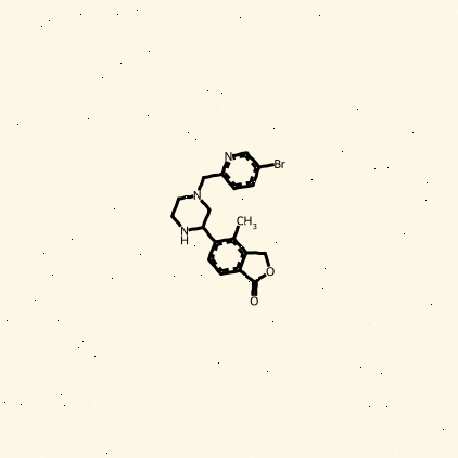 Cc1c(C2CN(Cc3ccc(Br)cn3)CCN2)ccc2c1COC2=O